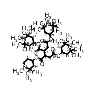 CN1CCC(OC(=O)C(CC(=O)OC2CC(C)(C)N(C)C(C)(C)C2)C(CC(=O)OC2CC(C)(C)N(C)C(C)(C)C2)C(=O)OC2CC(C)(C)N(C)C(C)(C)C2)CC1(C)C